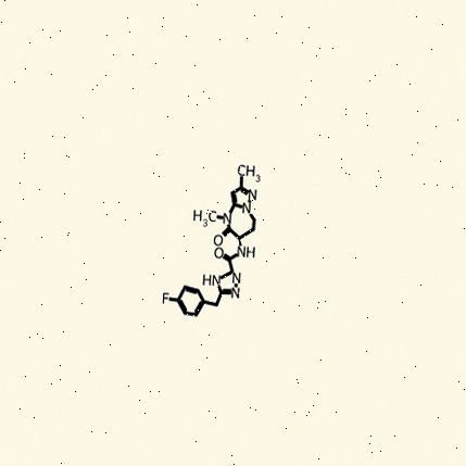 Cc1cc2n(n1)CC[C@@H](NC(=O)c1nnc(Cc3ccc(F)cc3)[nH]1)C(=O)N2C